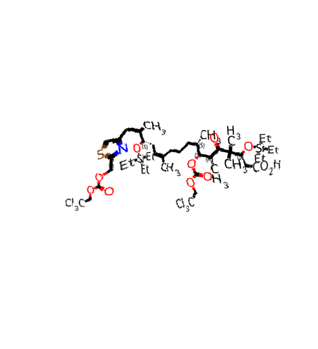 CC[Si](CC)(CC)O[C@@H](CC=C(C)CCC[C@H](C)[C@H](OC(=O)OCC(Cl)(Cl)Cl)[C@@H](C)C(=O)C(C)(C)[C@H](CC(=O)O)O[Si](CC)(CC)CC)C(C)=Cc1csc(COC(=O)OCC(Cl)(Cl)Cl)n1